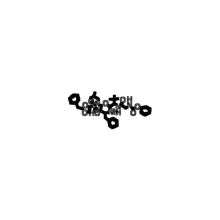 CC(C)CN(CC(O)C(Cc1ccccc1)NC(=O)C(NC(=O)CNC(=O)Oc1ccccc1)C(C)(C)C)S(=O)(=O)C1=COC(Cc2ccccc2)O1